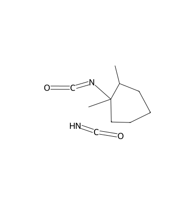 CC1CCCCC1(C)N=C=O.N=C=O